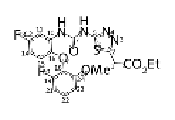 CCOC(=O)Cc1nnc(NC(=O)Nc2cc(F)ccc2Oc2c(F)cccc2OC)s1